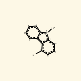 [Li][p]1c2ccccc2c2c(F)cccc21